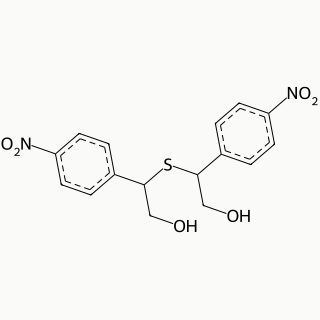 O=[N+]([O-])c1ccc(C(CO)SC(CO)c2ccc([N+](=O)[O-])cc2)cc1